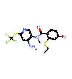 CCSc1cc(Br)ccc1C(=O)N(C)c1cnc(SC(F)(F)F)cc1N